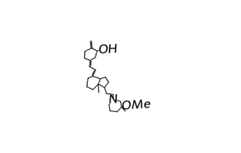 C=C1CC/C(=C/C=C2\CCCC3(C)C(CCN4CCCC(C)(OC)C4)CCC23)CC1O